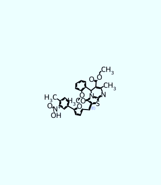 CCOC(=O)C1=C(C)N=c2s/c(=C/c3ccc(-c4ccc(C)c([N+](=O)O)c4)o3)c(=O)n2C1c1ccccc1OC